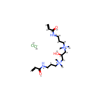 C=CC(=O)NCCC[N+](C)(C)CC(O)C[N+](C)(C)CCCNC(=O)C=C.[Cl-].[Cl-]